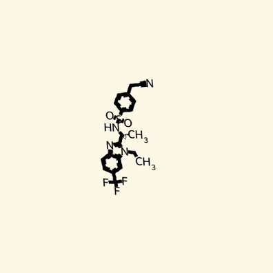 CCn1c([C@@H](C)NS(=O)(=O)c2ccc(CC#N)cc2)nc2ccc(C(F)(F)F)cc21